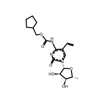 C=Cc1cn([C@@H]2O[C@H](C)[C@@H](O)[C@H]2O)c(=O)nc1NC(=O)OCC1CCCC1